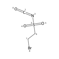 O=C=NS(=O)(=O)CCBr